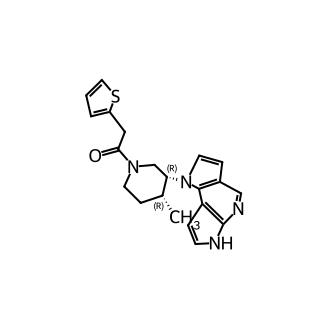 C[C@@H]1CCN(C(=O)Cc2cccs2)C[C@@H]1n1ccc2cnc3[nH]ccc3c21